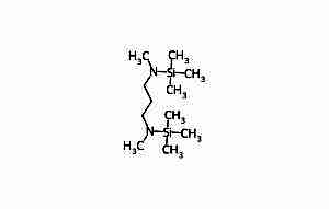 CN(CCCN(C)[Si](C)(C)C)[Si](C)(C)C